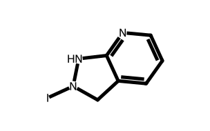 IN1Cc2cccnc2N1